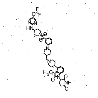 Cn1c(=O)n(C2CCC(=O)NC2=O)c2cccc(C3CCN(CC4CCN(c5cccc(S(=O)(=O)N6CCC(Nc7ncc(OC(F)F)cn7)CC6)c5)CC4)CC3)c21